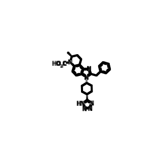 C[C@H]1CCc2c(ccc3c2nc(Cc2ccccc2)n3[C@H]2CC[C@H](c3nnn[nH]3)CC2)N1C(=O)O